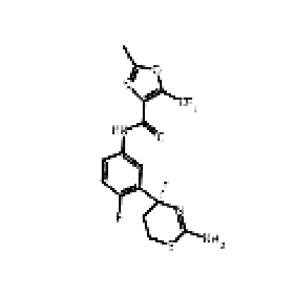 Cc1nc(C(=O)Nc2ccc(F)c([C@]3(C)CCSC(N)=N3)c2)c(C(F)(F)F)o1